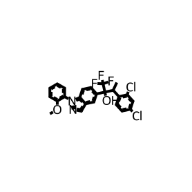 COc1ccccc1-n1ncc2cc(C(O)(C(C)c3ccc(Cl)cc3Cl)C(F)(F)F)ccc21